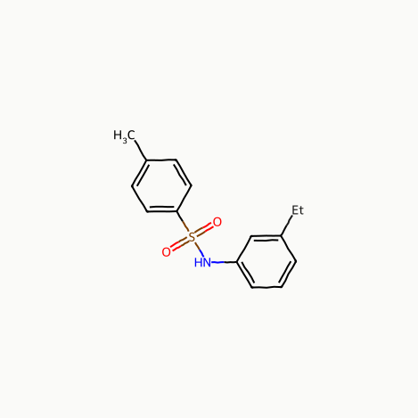 CCc1cccc(NS(=O)(=O)c2ccc(C)cc2)c1